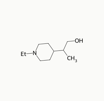 CCN1CCC(C(C)CO)CC1